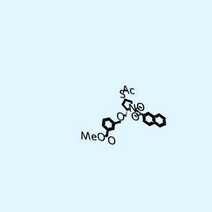 COC(=O)c1cccc(COC[C@@H]2C[C@H](SC(C)=O)CN2S(=O)(=O)c2ccc3ccccc3c2)c1